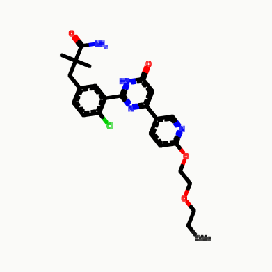 COCCOCCOc1ccc(-c2cc(=O)[nH]c(-c3cc(CC(C)(C)C(N)=O)ccc3Cl)n2)cn1